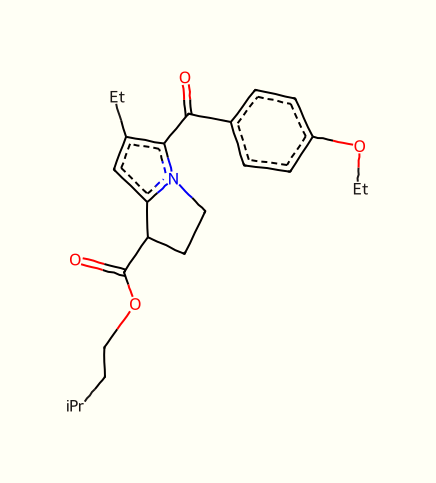 CCOc1ccc(C(=O)c2c(CC)cc3n2CCC3C(=O)OCCC(C)C)cc1